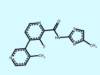 Cc1csc(NC(=O)c2nccc(-c3cnccc3C)c2F)n1